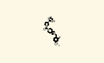 O=C(N1CCC2(CC1)CN(Cc1ccc(C(F)(F)F)cc1F)C2)N1CC[C@H](c2nnc[nH]2)C1